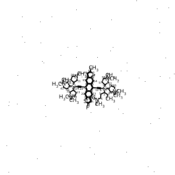 CCC(CCN(C)C)[Si](C#Cc1c2cc3cc(F)sc3cc2c(C#C[Si](C2CCN(C)C2)(C2CC[N+](C)(C)C2)C2CC[N+](C)(C)C2)c2cc3cc(C)sc3cc12)(C1CC[N+](C)(C)C1)C1CC[N+](C)(C)C1